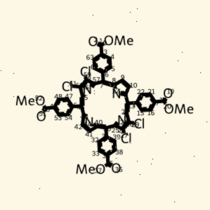 COC(=O)c1ccc(C2=C3C=CC(=N3)C(c3ccc(C(=O)OC)cc3)=C3N=C(C(Cl)=C3Cl)C(c3ccc(C(=O)OC)cc3)=C3C=CC(=N3)C(c3ccc(C(=O)OC)cc3)=C3N=C2C(Cl)=C3Cl)cc1